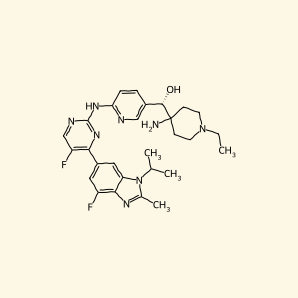 CCN1CCC(N)([C@@H](O)c2ccc(Nc3ncc(F)c(-c4cc(F)c5nc(C)n(C(C)C)c5c4)n3)nc2)CC1